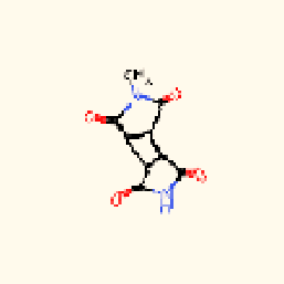 CN1C(=O)C2C3C(=O)NC(=O)C3C2C1=O